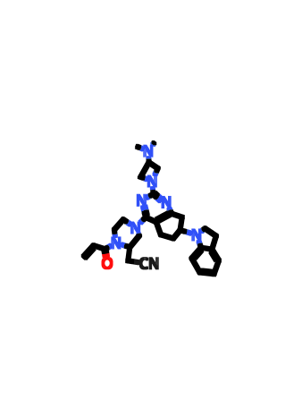 C=CC(=O)N1CCN(c2nc(N3CC(N(C)C)C3)nc3c2CCC(N2CCc4ccccc42)C3)CC1CC#N